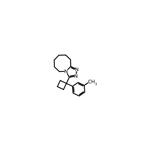 Cc1cccc(C2(c3nnc4n3CCCCCC4)CCC2)c1